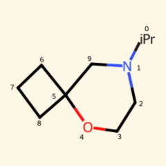 CC(C)N1CCOC2(CCC2)C1